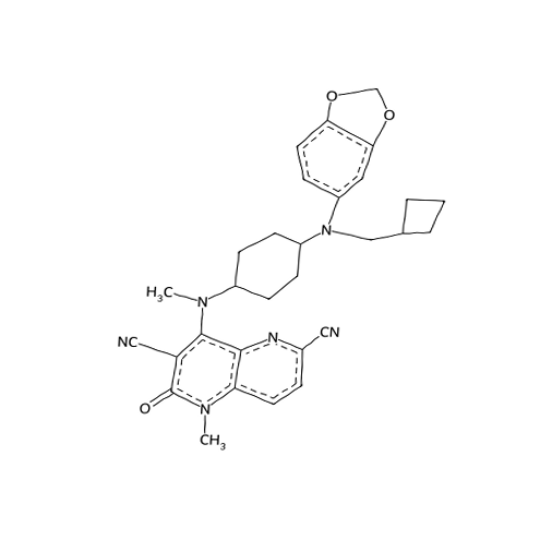 CN(c1c(C#N)c(=O)n(C)c2ccc(C#N)nc12)C1CCC(N(CC2CCC2)c2ccc3c(c2)OCO3)CC1